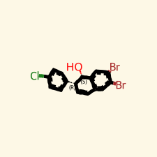 O[C@@H]1c2cc(Br)c(Br)cc2C=C[C@@H]1c1ccc(Cl)cc1